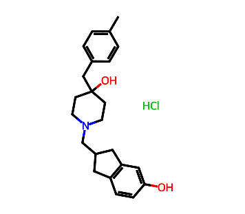 Cc1ccc(CC2(O)CCN(CC3Cc4ccc(O)cc4C3)CC2)cc1.Cl